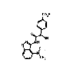 CCOC(=O)c1ccc(N(S)C(=O)Nc2noc3cccc(N(C)C)c23)cc1